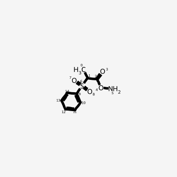 CC(C(=O)ON)S(=O)(=O)c1ccccc1